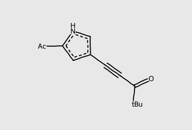 CC(=O)c1cc(C#CC(=O)C(C)(C)C)c[nH]1